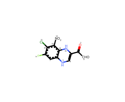 O=CC(=O)C1=CNc2cc(F)c(Cl)c([N+](=O)[O-])c2N1